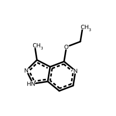 CCOc1nccc2[nH]nc(C)c12